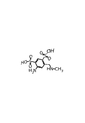 CNCc1cc(N)c(S(=O)(=O)O)cc1S(=O)(=O)O